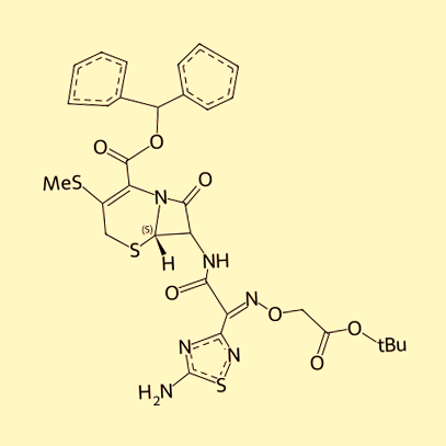 CSC1=C(C(=O)OC(c2ccccc2)c2ccccc2)N2C(=O)C(NC(=O)C(=NOCC(=O)OC(C)(C)C)c3nsc(N)n3)[C@@H]2SC1